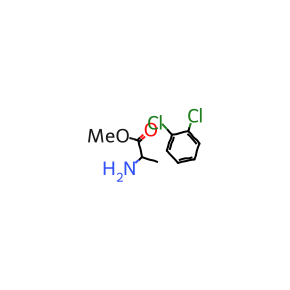 COC(=O)C(C)N.Clc1ccccc1Cl